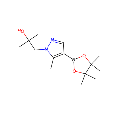 Cc1c(B2OC(C)(C)C(C)(C)O2)cnn1CC(C)(C)O